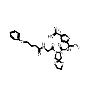 CC(NC(=O)[C@@H]1CC2(CN1C(=O)CNC(=O)CCCOc1ccccc1)OCCO2)c1cc(C(=N)N)cs1